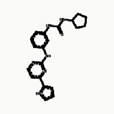 O=C(Nc1cccc(Nc2nccc(-c3ccc[nH]3)n2)c1)NC1CCCC1